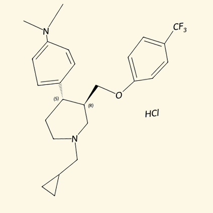 CN(C)c1ccc([C@H]2CCN(CC3CC3)C[C@@H]2COc2ccc(C(F)(F)F)cc2)cc1.Cl